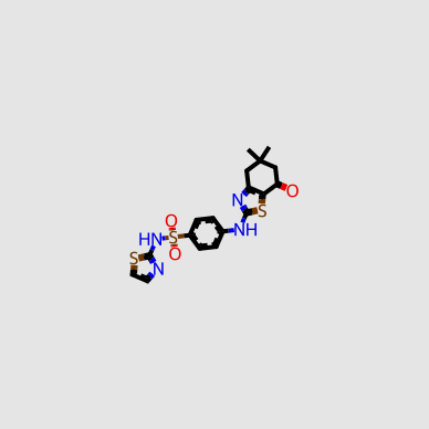 CC1(C)CC(=O)c2sc(Nc3ccc(S(=O)(=O)Nc4nccs4)cc3)nc2C1